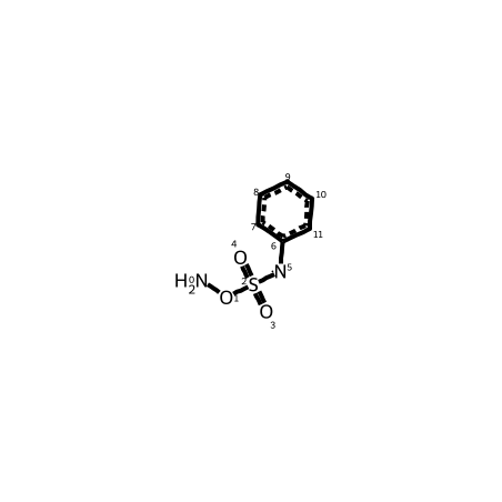 NOS(=O)(=O)[N]c1ccccc1